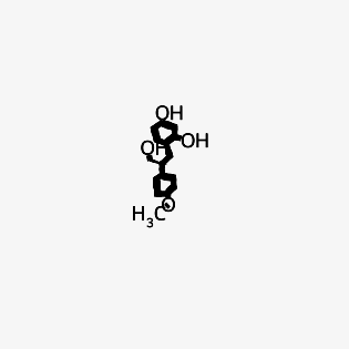 COc1ccc([C@@H](CO)Cc2ccc(O)cc2O)cc1